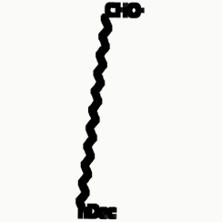 CCCCCCCCCCCCCCCCCCCCCCCCCCCCCCC[C]=O